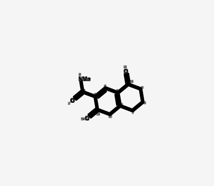 CNC(=O)C1=CC2=C(CCCC2=O)CC1=O